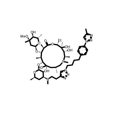 CC[C@H]1OC(=O)[C@H](C)[C@@H](O[C@H]2C[C@@](C)(OC)[C@@H](O)[C@H](C)O2)[C@H](C)[C@@H](O[C@@H]2O[C@H](C)C[C@H](N(C)CCc3cn(CCCCc4ccc(-n5cc(C)nn5)cc4)nn3)[C@H]2O)[C@](C)(O)C[C@@H](C)CN(C)[C@H](C)[C@@H](O)[C@]1(C)O